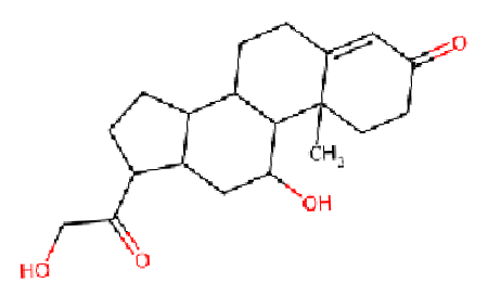 CC12CCC(=O)C=C1CCC1C3CCC(C(=O)CO)C3CC(O)C12